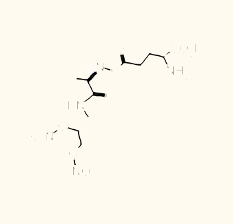 C/C(=N/OC(=O)CC[C@H](N)C(=O)O)C(=O)NC[C@H](CO[N+](=O)[O-])O[N+](=O)[O-]